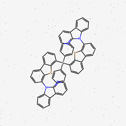 c1ccc([Si](c2ccccc2)(c2cccc3c2sc2c(-n4c5ccccc5c5cccnc54)cccc23)c2cccc3c2sc2c(-n4c5ccccc5c5cccnc54)cccc23)cc1